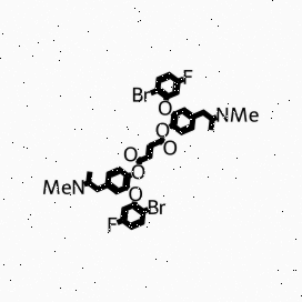 CNC(C)Cc1ccc(OC(=O)/C=C/C(=O)Oc2ccc(CC(C)NC)cc2Oc2cc(F)ccc2Br)c(Oc2cc(F)ccc2Br)c1